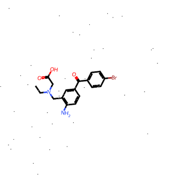 CCN(CC(=O)O)Cc1cc(C(=O)c2ccc(Br)cc2)ccc1N